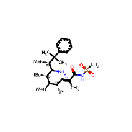 CNC([C@H](/C=C(\C)C(=O)NS(C)(=O)=O)C(C)C)[C@H](C(N)[C@@H](NC)C(C)(C)c1ccccc1)C(C)(C)C